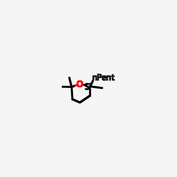 CCCCC[Si]1(C)CCCC(C)(C)O1